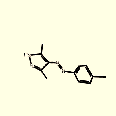 Cc1ccc(N=Nc2c(C)n[nH]c2C)cc1